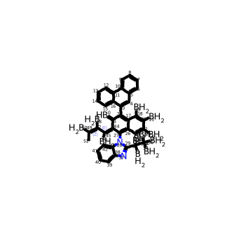 B=c1c(-c2cc3ccccc3c3ccccc23)c2c(B)c(B)c(B)c(B)c2c(-n2c(C(B)(B)C(B)(B)B)nc3ccccc32)/c1=C(B)/C(B)=C(/B)C